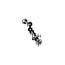 CO[C@H]1CN(S(=O)(=O)C(F)F)C[C@@H]1NC(=O)Cc1cc2cc(-c3cccc(N4C[C@@H](C)O[C@@H](C)C4)n3)ccc2cn1